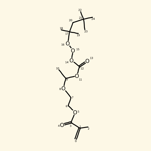 C=C(C)C(=O)OCCOC(C)OC(=O)OOOC(C)(C)CC(C)(C)C